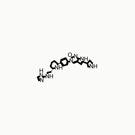 O=c1nc2[nH]c(C3CCNC3)cc2cn1-c1ccc([C@@H]2CCC[C@@H](CCNc3ncc[nH]3)N2)cc1